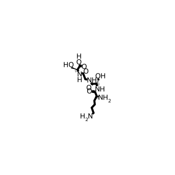 NCCCC[C@H](N)C(=O)N[C@@H](CO)C(=O)NCC(=O)N[C@@H](CO)C(=O)O